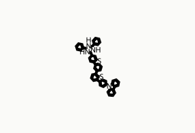 C1=c2sc3ccc(-c4cccc5c4sc4cc(-n6c7ccccc7c7ccccc76)ccc45)cc3c2=CCC1C1NC(c2ccccc2)NC(c2ccccc2)N1